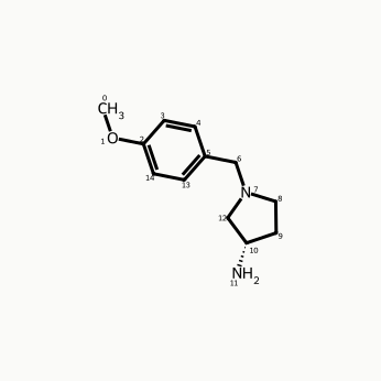 COc1ccc(CN2CC[C@H](N)C2)cc1